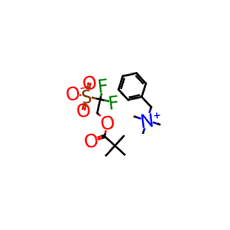 CC(C)(C)C(=O)OCC(F)(F)S(=O)(=O)[O-].C[N+](C)(C)Cc1ccccc1